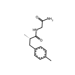 Cc1ccc(C[C@H](C)C(=O)NCC(N)=O)cc1